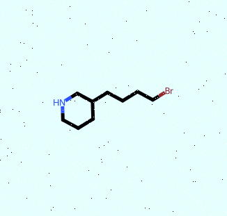 BrCCCCC1CCCNC1